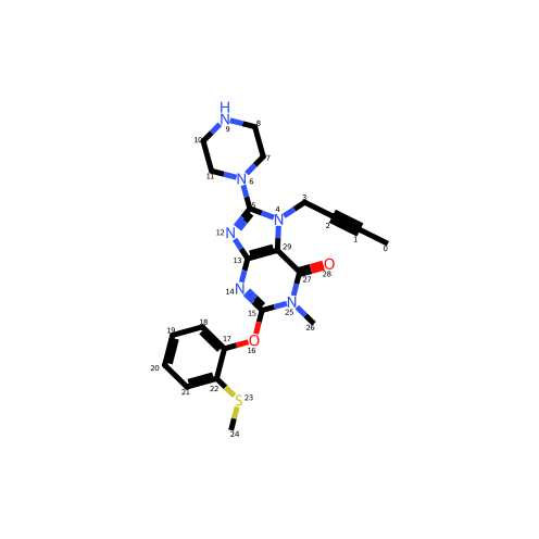 CC#CCn1c(N2CCNCC2)nc2nc(Oc3ccccc3SC)n(C)c(=O)c21